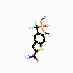 CCOP(=O)(OCC)C(F)(F)c1ccc2sc(C(N)=O)cc2c1